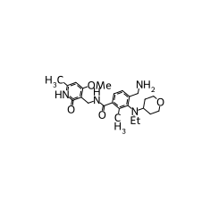 CCN(c1c(CN)ccc(C(=O)NCc2c(OC)cc(C)[nH]c2=O)c1C)C1CCOCC1